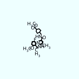 COC(=O)C1CCC(CNC(=O)c2cnc(N[C@@H](C)c3cc(F)ccc3OC)c(C)c2)CC1